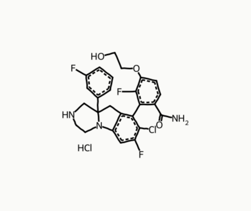 Cl.NC(=O)c1ccc(OCCO)c(F)c1-c1c(Cl)c(F)cc2c1CC1(c3cccc(F)c3)CNCCN21